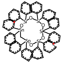 c1ccc([Si]2(c3ccccc3)O[Si](c3ccccc3)(c3ccccc3)O[Si](c3ccccc3)(c3ccccc3)[O][Sn]([c]3ccccc3)([c]3ccccc3)[CH2][Sn]([c]3ccccc3)([c]3ccccc3)[O][Si](c3ccccc3)(c3ccccc3)O2)cc1